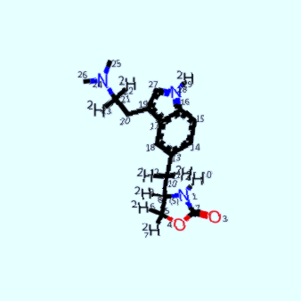 [2H]N1C(=O)OC([2H])([2H])[C@]1([2H])C([2H])([2H])c1ccc2c(c1)c(CC([2H])([2H])N(C)C)cn2[2H]